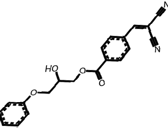 N#CC(C#N)=Cc1ccc(C(=O)OCC(O)COc2ccccc2)cc1